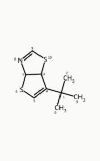 CC(C)(C)C1=CSC2N=CSC12